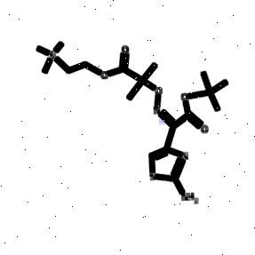 CC(C)(C)OC(=O)/C(=N\OC(C)(C)C(=O)OCC[Si](C)(C)C)c1csc(N)n1